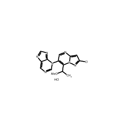 COC(C)c1c(-n2cncc3ncnc2-3)cnc2cc(Cl)nn12.Cl